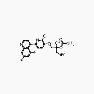 CC(C)CC(C)(COc1ccc(-c2ccnc3cc(F)cc(F)c23)nc1Cl)OC(N)=O